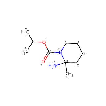 CC(C)OC(=O)N1CCCCC1(C)N